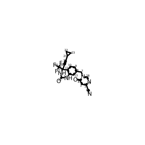 N#Cc1cc(=O)n(Cc2ccc3c(c2)NC(=O)NC3(C#CC2CC2)C(F)(F)F)cn1